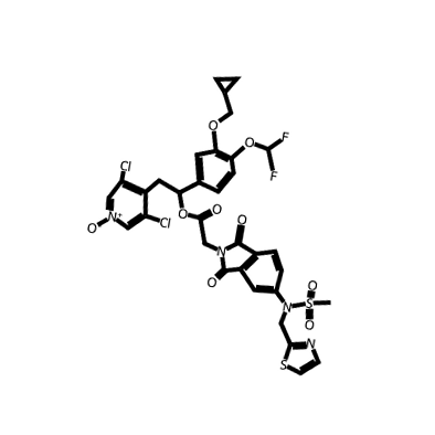 CS(=O)(=O)N(Cc1nccs1)c1ccc2c(c1)C(=O)N(CC(=O)OC(Cc1c(Cl)c[n+]([O-])cc1Cl)c1ccc(OC(F)F)c(OCC3CC3)c1)C2=O